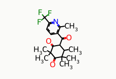 Cc1nc(C(F)(F)F)ccc1C(=O)C1C(=O)C(C)(C)C(=O)C(C)(C)C1C